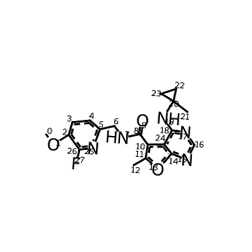 COc1ccc(CNC(=O)c2c(C)oc3ncnc(NC4(C)CC4)c23)nc1F